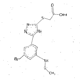 CONc1cc(Br)cc(-c2nnc(SCC(=O)O)[nH]2)c1